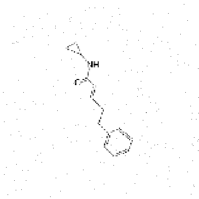 O=C(/C=C/CCc1ccccc1)NC1CC1